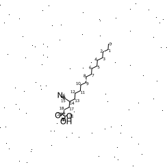 CCCCCCCCCCCCCCC(C#N)CCS(=O)(=O)O